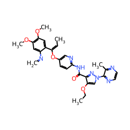 C=Nc1cc(OC)c(OC)cc1/C(=C\C)Oc1ccc(NC(=O)c2nn(-c3nccnc3C)cc2OCC)nc1